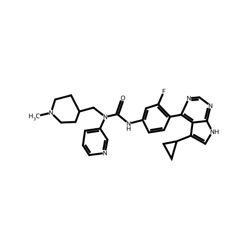 CN1CCC(CN(C(=O)Nc2ccc(-c3ncnc4[nH]cc(C5CC5)c34)c(F)c2)c2cccnc2)CC1